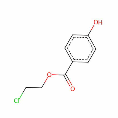 O=C(OCCCl)c1ccc(O)cc1